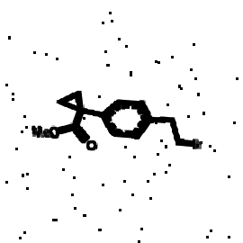 COC(=O)C1(c2ccc(CCBr)cc2)CC1